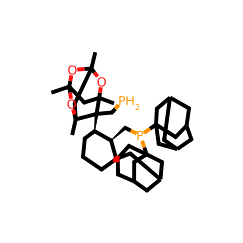 CC12CC3(C)OC(C)(CC(C)(O1)C3(CP)[C@@H]1CCCC[C@@H]1CP(C13CC4CC(CC(C4)C1)C3)C13CC4CC(CC(C4)C1)C3)O2